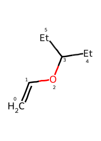 C=COC(CC)CC